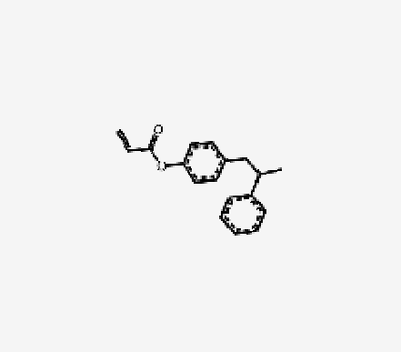 C=CC(=O)Oc1ccc(CC(C)c2ccccc2)cc1